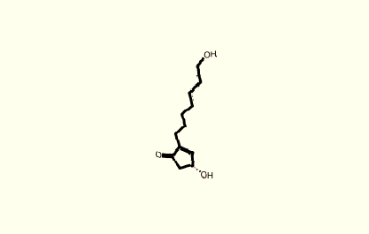 O=C1C[C@@H](O)C=C1CCCCCCCO